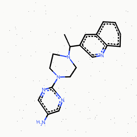 CC(c1cnc2ccccc2c1)N1CCN(c2ncc(N)cn2)CC1